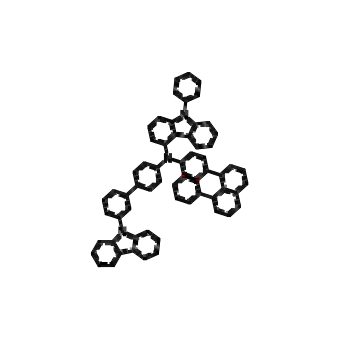 c1ccc(-c2cccc3cccc(-c4ccc(N(c5ccc(-c6cccc(-n7c8ccccc8c8ccccc87)c6)cc5)c5cccc6c5c5ccccc5n6-c5ccccc5)cc4)c23)cc1